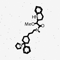 COC(C(=O)N(C)CCCC1CCC(c2ccccc2)(N2CCCC2)CC1)C1CCc2ccccc2N1